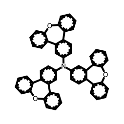 c1ccc2c(c1)Oc1ccccc1-c1cc(N(c3ccc4c(c3)-c3ccccc3Oc3ccccc3-4)c3ccc4c(c3)-c3ccccc3Oc3ccccc3-4)ccc1-2